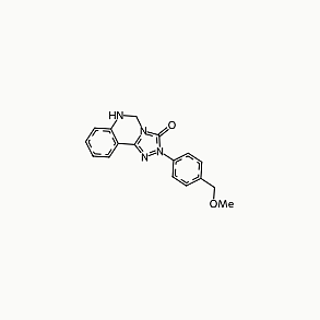 COCc1ccc(-n2nc3n(c2=O)CNc2ccccc2-3)cc1